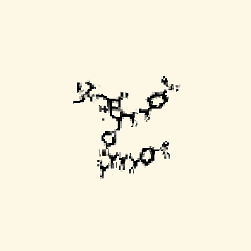 CC[Si](CC)(CC)O[C@H](C)C1C(=O)N2C(C(=O)OC(=O)c3ccc([N+](=O)[O-])cc3)=C(CN3CC[C@H](NC(=NC(=O)OC(=O)c4ccc([N+](=O)[O-])cc4)NC(C)=O)C3)[C@H](C)[C@H]12